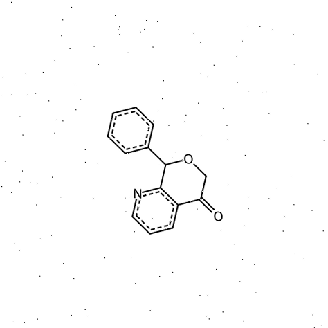 O=C1COC(c2ccccc2)c2ncccc21